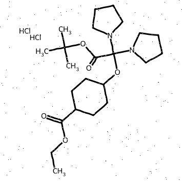 CCOC(=O)C1CCC(OC(C(=O)OC(C)(C)C)(N2CCCC2)N2CCCC2)CC1.Cl.Cl